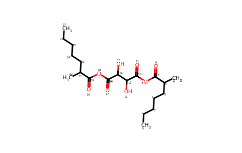 CCCCCC(C)C(=O)OC(=O)C(O)C(O)C(=O)OC(=O)C(C)CCCCC